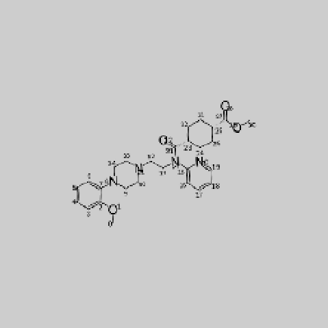 COc1ccccc1N1CCN(CCN(c2ccccn2)C(=O)[C@H]2CC[C@@H](C(=O)OC)CC2)CC1